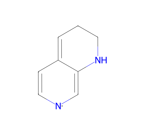 C1=CC2=CCCNC2=C[N]1